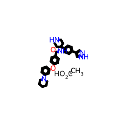 CC(=O)O.O=C(NC1(c2ccc(-c3cn[nH]c3)cc2)CCNCC1)c1ccc(Oc2cccc(N3CCCCC3)c2)cc1